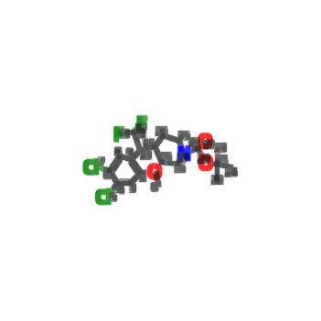 COc1cc(Cl)c(Cl)cc1C(C(F)F)C1CCN(C(=O)OC(C)(C)C)CC1